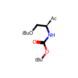 CC(=O)[C@H](COCC(C)C)NC(=O)OC(C)(C)C